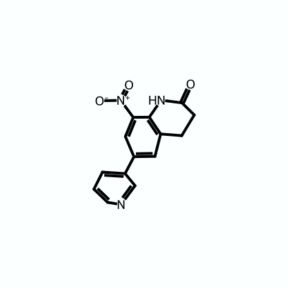 O=C1CCc2cc(-c3cccnc3)cc([N+](=O)[O-])c2N1